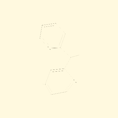 [CH2]C(c1ccccn1)c1ccccn1